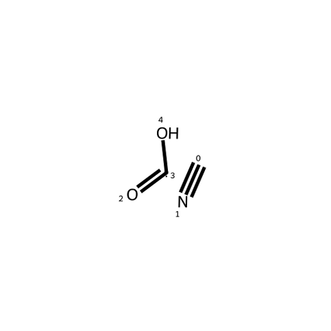 C#N.O=[C]O